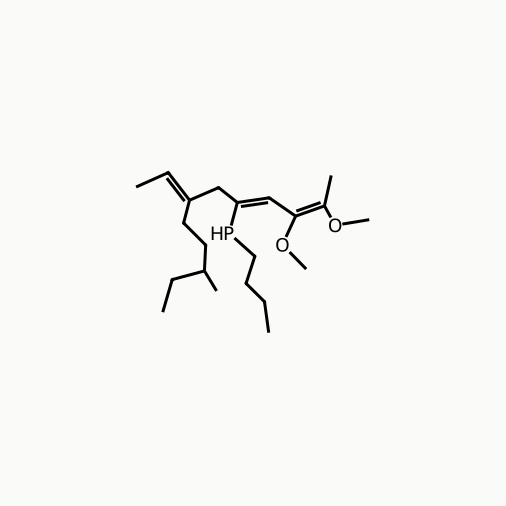 C/C=C(\CCC(C)CC)C/C(=C/C(OC)=C(\C)OC)PCCCC